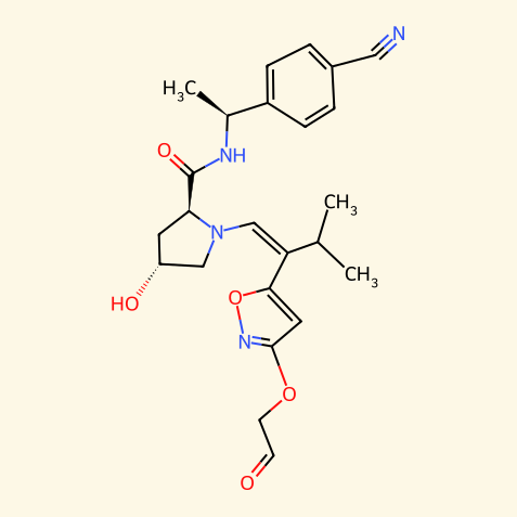 CC(C)C(=CN1C[C@H](O)C[C@H]1C(=O)N[C@@H](C)c1ccc(C#N)cc1)c1cc(OCC=O)no1